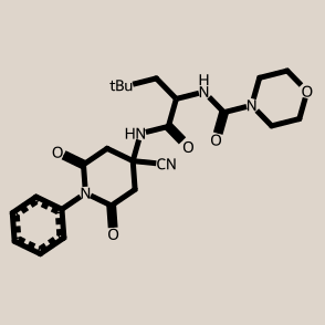 CC(C)(C)CC(NC(=O)N1CCOCC1)C(=O)NC1(C#N)CC(=O)N(c2ccccc2)C(=O)C1